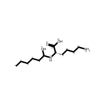 CCCCCC(O)N[C@@H](CCCCN)C(=O)O